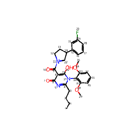 CCCCc1nc(=O)c(C(=O)N2CCC(c3cccc(F)c3)C2)c(O)n1-c1c(OC)cccc1OC